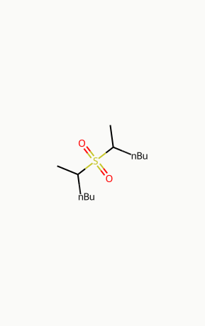 CCCCC(C)S(=O)(=O)C(C)CCCC